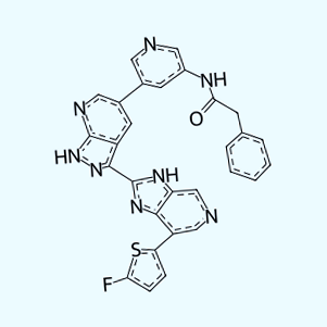 O=C(Cc1ccccc1)Nc1cncc(-c2cnc3[nH]nc(-c4nc5c(-c6ccc(F)s6)cncc5[nH]4)c3c2)c1